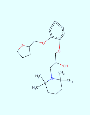 CC1(C)CCCC(C)(C)N1CC(O)COc1ccccc1OCC1CCCO1